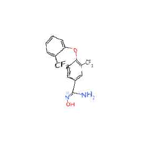 N/C(=N\O)c1ccc(Oc2ccccc2C(F)(F)F)c(C(F)(F)F)c1